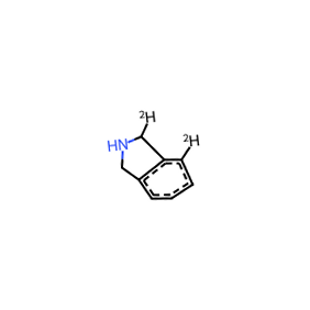 [2H]c1cccc2c1C([2H])NC2